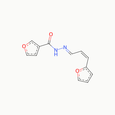 O=C(N/N=C/C=C\c1ccco1)c1ccoc1